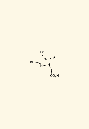 CCCc1c(Br)c(Br)nn1CC(=O)O